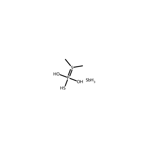 CS(C)=P(O)(O)S.[SbH3]